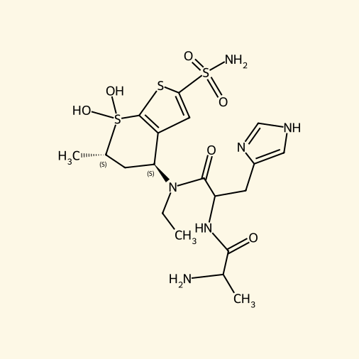 CCN(C(=O)C(Cc1c[nH]cn1)NC(=O)C(C)N)[C@H]1C[C@H](C)S(O)(O)c2sc(S(N)(=O)=O)cc21